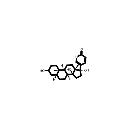 C[C@]12CC[C@H](O)C[C@H]1CC[C@@H]1[C@@H]2CC[C@]2(C)[C@@](O)(c3ccc(=O)oc3)CC[C@]12O